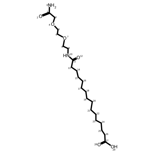 NC(=O)COCCOCCNC(=O)CCCCCCCCCCCCCCC(=O)O